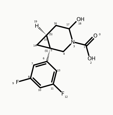 O=C(O)N1C[C@@]2(c3cc(F)cc(F)c3)C[C@H]2CC1O